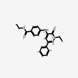 CCOC(=O)c1ccc(Nc2cc(-c3ccccc3)nn(CC)c2=O)cc1